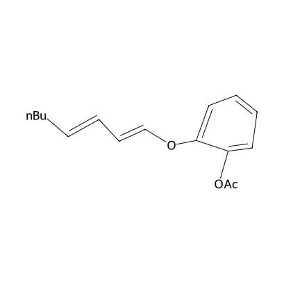 CCCCC=CC=COc1ccccc1OC(C)=O